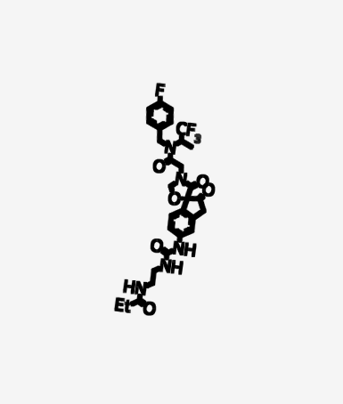 CCC(=O)NCCNC(=O)Nc1ccc2c(c1)CC(=O)[C@]21OCN(CC(=O)N(Cc2ccc(F)cc2)C(C)C(F)(F)F)C1=O